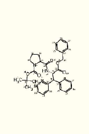 CC(C)(C)OC(=O)N1CCCC1C(=O)N[C@H](C(=O)OCc1ccccc1)C(c1ccccc1)c1ccccc1